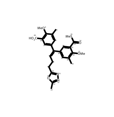 COc1c(C)cc(C(=CCCc2nnc(C)o2)c2cc(C)c(OC)c(C(=O)SC)c2)cc1C(=O)O